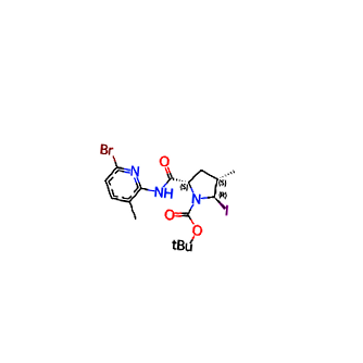 Cc1ccc(Br)nc1NC(=O)[C@@H]1C[C@H](C)[C@@H](I)N1C(=O)OC(C)(C)C